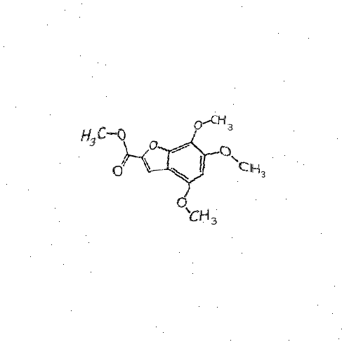 COC(=O)c1cc2c(OC)cc(OC)c(OC)c2o1